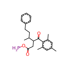 Cc1cc(C)c(C(=O)C(CC(=O)OP)C(C)CCc2ccccc2)c(C)c1